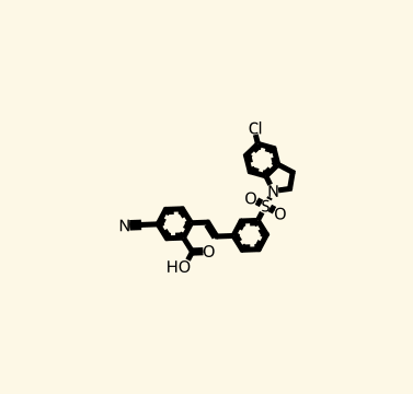 N#Cc1ccc(C=Cc2cccc(S(=O)(=O)N3CCc4cc(Cl)ccc43)c2)c(C(=O)O)c1